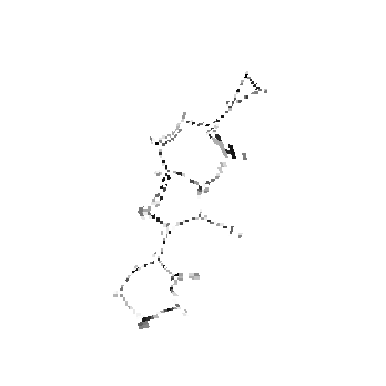 IC1C2N=C(C3CC3)C=CC2=NN1C1CCCCO1